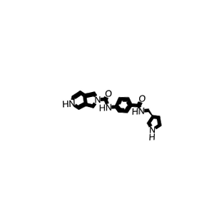 O=C(NC[C@H]1CCNC1)c1ccc(NC(=O)N2C=C3C=CNC=C3C2)cc1